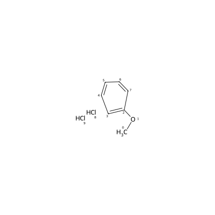 COc1ccccc1.Cl.Cl